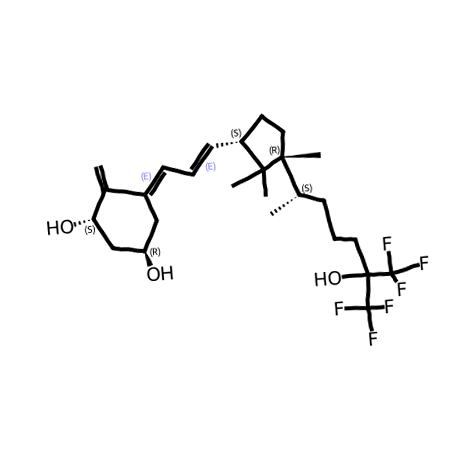 C=C1/C(=C/C=C/[C@@H]2CC[C@](C)([C@@H](C)CCCC(O)(C(F)(F)F)C(F)(F)F)C2(C)C)C[C@@H](O)C[C@@H]1O